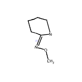 CO/N=C1/CCCC[N]1